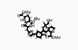 CCn1c(-c2cccnc2C(C)OC)c(CC(C)(C)CO)c2cc(-c3csc(CC(NC(=O)OC(C)(C)C)C(=O)N4CCC[C@@H](C(=O)OC)N4)n3)ccc21